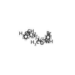 CN(CCCN1CCC(c2ccccc2)(N(C)C)CC1)C(=O)Cc1c[nH]c2ccc(Br)cc12